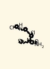 NC(=O)N1CCc2c(c(-c3ccc(Cl)c(C#Cc4cccc(CNCc5cccc(Cl)c5)c4)c3)nn2CCCN2CCSCC2)C1